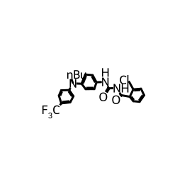 CCCCN(c1ccc(NC(=O)NC(=O)c2ccccc2Cl)cc1)c1ccc(C(F)(F)F)cc1